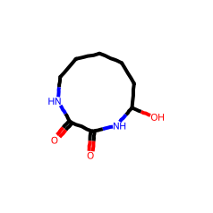 O=C1NCCCCCC(O)NC1=O